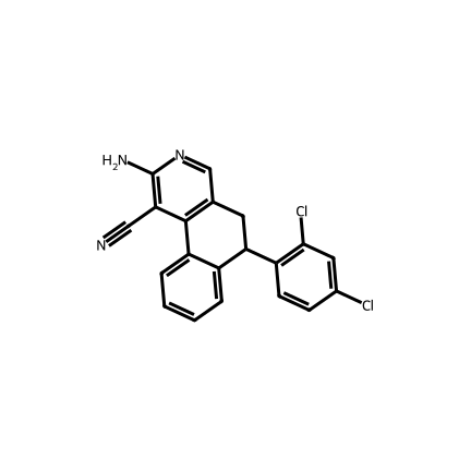 N#Cc1c(N)ncc2c1-c1ccccc1C(c1ccc(Cl)cc1Cl)C2